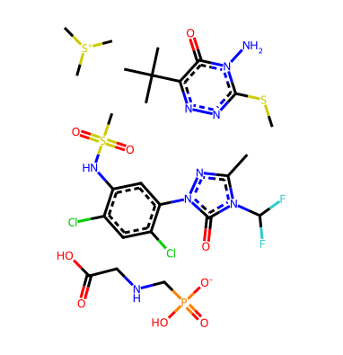 CSc1nnc(C(C)(C)C)c(=O)n1N.C[S+](C)C.Cc1nn(-c2cc(NS(C)(=O)=O)c(Cl)cc2Cl)c(=O)n1C(F)F.O=C(O)CNCP(=O)([O-])O